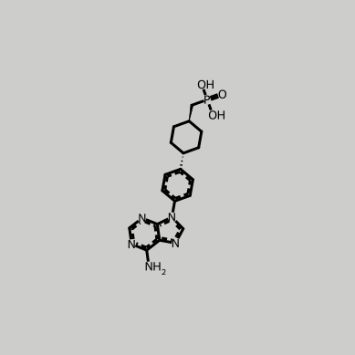 Nc1ncnc2c1ncn2-c1ccc([C@H]2CC[C@H](CP(=O)(O)O)CC2)cc1